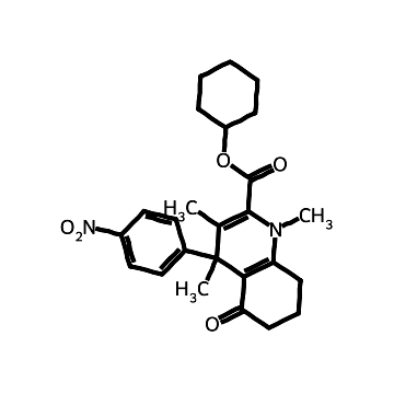 CC1=C(C(=O)OC2CCCCC2)N(C)C2=C(C(=O)CCC2)C1(C)c1ccc([N+](=O)[O-])cc1